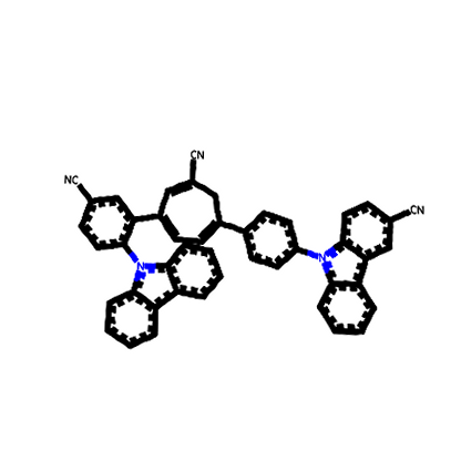 N#CC1=CC(c2cc(C#N)ccc2-n2c3ccccc3c3ccccc32)=CC=C(c2ccc(-n3c4ccccc4c4cc(C#N)ccc43)cc2)C1